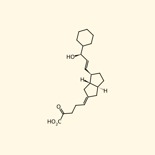 O=C(O)C(=O)CCC=C1C[C@@H]2CC[C@H](/C=C/[C@@H](O)C3CCCCC3)[C@H]2C1